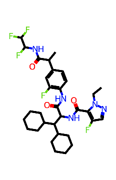 CCn1ncc(F)c1C(=O)NC(C(=O)Nc1ccc(C(C)C(=O)NC(F)C(F)F)cc1F)C(C1CCCCC1)C1CCCCC1